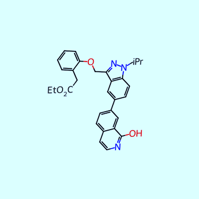 CCOC(=O)Cc1ccccc1OCc1nn(C(C)C)c2ccc(-c3ccc4ccnc(O)c4c3)cc12